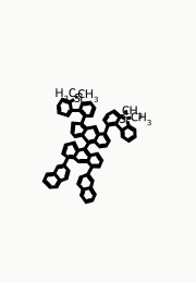 C[Si]1(C)c2ccccc2-c2c(-c3cccc4c(-c5c6cccc(-c7ccc8ccccc8c7)c6cc6c(-c7ccc8ccccc8c7)cccc56)c5cccc(-c6cccc7c6-c6ccccc6[Si]7(C)C)c5cc34)cccc21